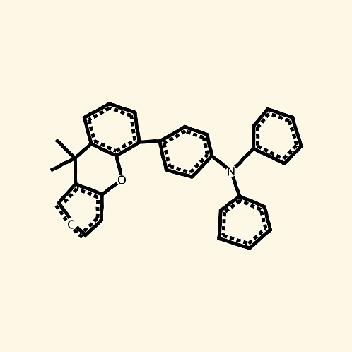 CC1(C)c2ccccc2Oc2c(-c3ccc(N(c4ccccc4)c4ccccc4)cc3)cccc21